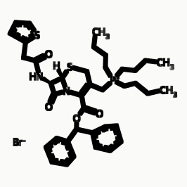 CCCC[P+](CCCC)(CCCC)CC1=C(C(=O)OC(c2ccccc2)c2ccccc2)N2C(=O)[C@@H](NC(=O)Cc3cccs3)[C@@H]2SC1.[Br-]